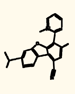 Cc1cc(C#N)c2c(oc3cc(C(C)C)ccc32)c1-c1cccc[n+]1C